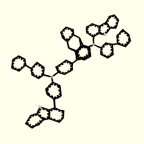 c1ccc(-c2ccc(N(c3ccc(-c4ccc(N(c5cccc(-c6ccccc6)c5)c5cccc6c5oc5ccccc56)c5c4C4c6ccccc6C5c5ccccc54)cc3)c3ccc(-c4cccc5c4oc4ccccc45)cc3)cc2)cc1